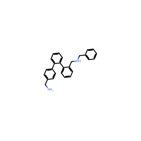 NCc1ccc(-c2ccccc2-c2ccccc2CNCc2ccccc2)cc1